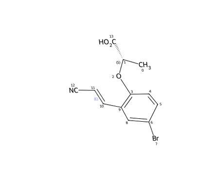 C[C@H](Oc1ccc(Br)cc1/C=C/C#N)C(=O)O